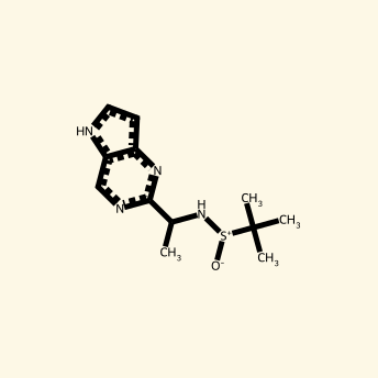 CC(N[S+]([O-])C(C)(C)C)c1ncc2[nH]ccc2n1